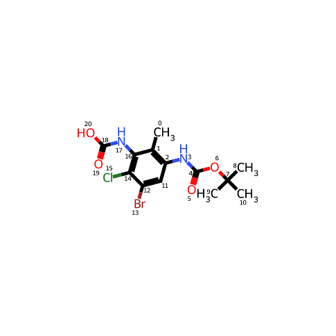 Cc1c(NC(=O)OC(C)(C)C)cc(Br)c(Cl)c1NC(=O)O